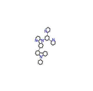 c1ccc(-n2c3ccccc3c3c(-c4ccc5c(c4)c4ncccc4n5-c4cc(-c5ccccn5)cc(-c5ccccn5)c4)cccc32)cc1